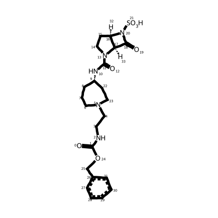 O=C(NCCN1CCC[C@H](NC(=O)N2CC[C@@H]3[C@H]2C(=O)N3S(=O)(=O)O)CC1)OCc1ccccc1